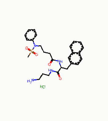 CS(=O)(=O)N(CCCC(=O)NC(Cc1ccc2ccccc2c1)C(=O)NCCCN)c1ccccc1.Cl